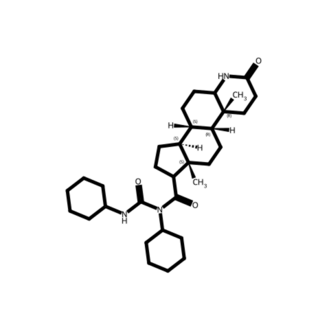 C[C@]12CCC(=O)NC1CC[C@@H]1[C@H]2CC[C@]2(C)C(C(=O)N(C(=O)NC3CCCCC3)C3CCCCC3)CC[C@@H]12